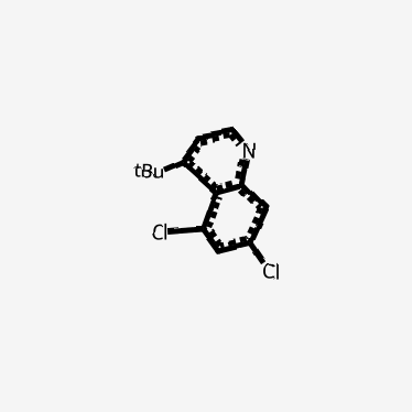 CC(C)(C)c1ccnc2cc(Cl)cc(Cl)c12